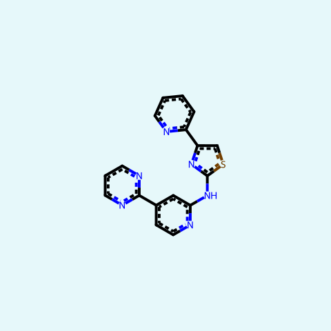 c1ccc(-c2csc(Nc3cc(-c4ncccn4)ccn3)n2)nc1